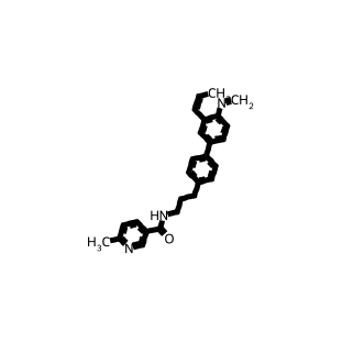 C=Nc1ccc(-c2ccc(CCCNC(=O)c3ccc(C)nc3)cc2)cc1/C=C\C